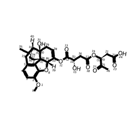 COc1ccc2c3c1O[C@H]1C(OC(=O)[C@@H](O)CC(=O)O[C@@H](CC(=O)O)C(C)=O)=CC[C@@]4(O)[C@@H](C2)N(C)CC[C@]314